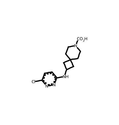 O=C(O)N1CCC2(CC1)CC(Nc1ccc(Cl)nn1)C2